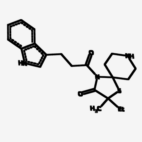 CCC1(C)SC2(CCNCC2)N(C(=O)CCc2c[nH]c3ccccc23)C1=O